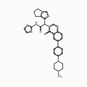 CN1CCN(c2ccc(-c3ccc4ncn(C(C(=O)Nc5nccs5)c5ncn6c5CCC6)c(=O)c4c3)cc2)CC1